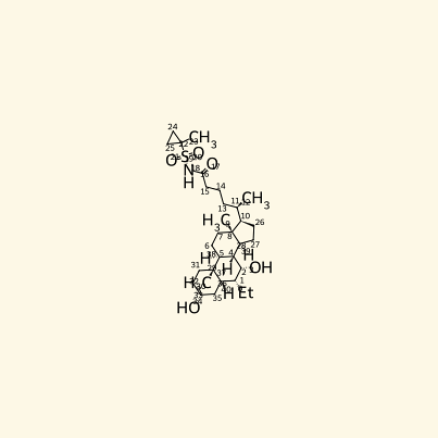 CC[C@H]1[C@@H](O)[C@@H]2[C@H](CC[C@]3(C)[C@@H]([C@H](C)CCCC(=O)NS(=O)(=O)C4(C)CC4)CC[C@@H]23)[C@@]2(C)CC[C@@H](O)C[C@@H]12